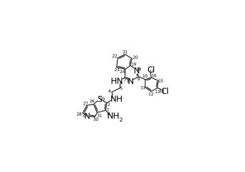 Nc1c(NCCNc2nc(-c3ccc(Cl)cc3Cl)nc3ccccc23)sc2ccncc12